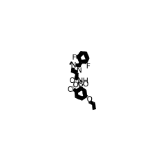 CCCOc1ccc(Cl)c(S(=O)(=O)NC(=O)c2cn(C)c(-c3c(F)cccc3F)n2)c1